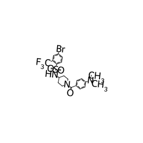 CN(C)c1ccc(C(=O)N2CCC(NS(=O)(=O)c3ccc(Br)cc3C(F)(F)F)CC2)cc1